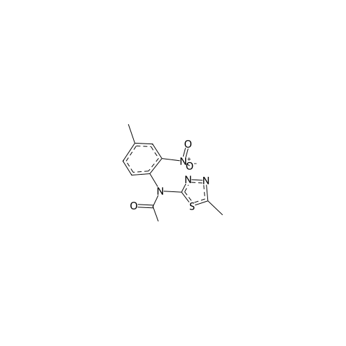 CC(=O)N(c1nnc(C)s1)c1ccc(C)cc1[N+](=O)[O-]